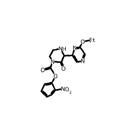 CCOc1cncc(C2NCCN(C(=O)Oc3ccccc3[N+](=O)[O-])C2=O)n1